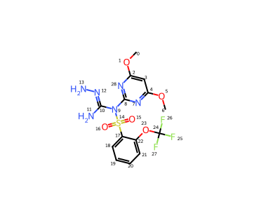 COc1cc(OC)nc(N(C(N)=NN)S(=O)(=O)c2ccccc2OC(F)(F)F)n1